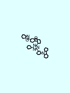 c1ccc(-c2nc(-c3cccc(-n4c5ccccc5c5ccccc54)c3)nc(-c3cccc4oc5cc(-c6nc7ccccc7o6)ccc5c34)n2)cc1